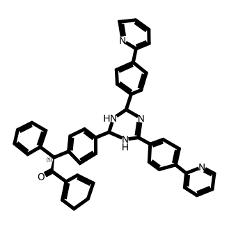 O=C(C1=CCCC=C1)[C@@H](c1ccccc1)c1ccc(C2NC(c3ccc(-c4ccccn4)cc3)=NC(c3ccc(-c4ccccn4)cc3)N2)cc1